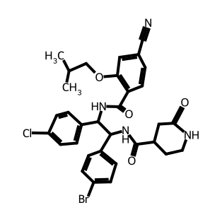 CC(C)COc1cc(C#N)ccc1C(=O)NC(c1ccc(Cl)cc1)C(NC(=O)C1CCNC(=O)C1)c1ccc(Br)cc1